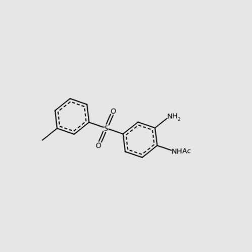 CC(=O)Nc1ccc(S(=O)(=O)c2cccc(C)c2)cc1N